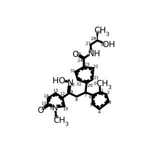 Cc1ccccc1C(CC(=NO)c1ccc(=O)n(C)c1)c1ccc(C(=O)NC[C@@H](C)O)cc1